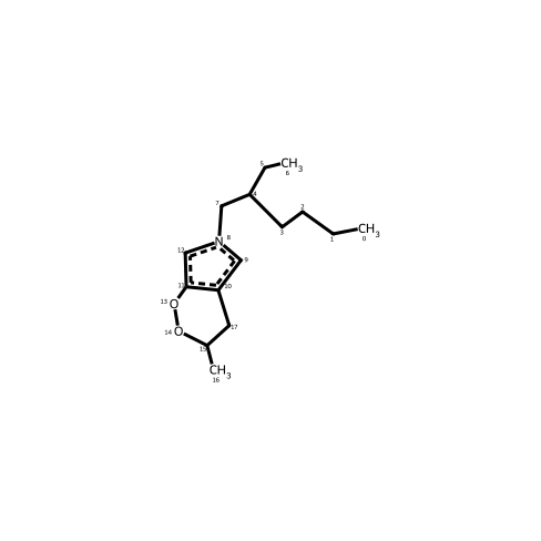 CCCCC(CC)Cn1cc2c(c1)OOC(C)C2